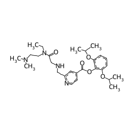 CCN(CCN(C)C)C(=O)CNCc1cc(C(=O)Oc2c(OC(C)C)cccc2OC(C)C)ccn1